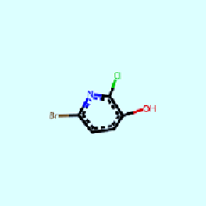 Oc1ccc(Br)nc1Cl